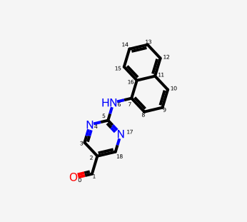 O=Cc1cnc(Nc2cccc3ccccc23)nc1